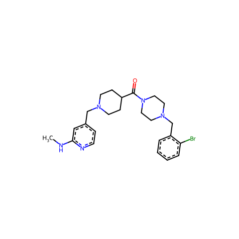 CNc1cc(CN2CCC(C(=O)N3CCN(Cc4ccccc4Br)CC3)CC2)ccn1